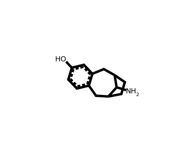 NC1C2CCC1Cc1cc(O)ccc1C2